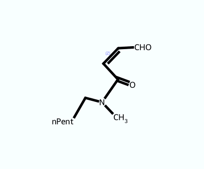 CCCCCCN(C)C(=O)/C=C\C=O